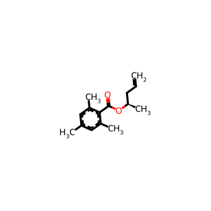 C=CC[C@@H](C)OC(=O)c1c(C)cc(C)cc1C